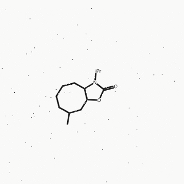 CC1CCCCC2C(C1)OC(=O)N2C(C)C